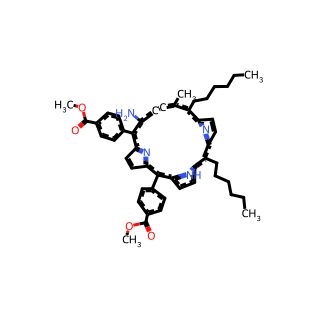 CCCCCCc1c(C)ccc(N)c(-c2ccc(C(=O)OC)cc2)c2nc(c(-c3ccc(C(=O)OC)cc3)c3ccc([nH]3)c(CCCCCC)c3nc1C=C3)C=C2